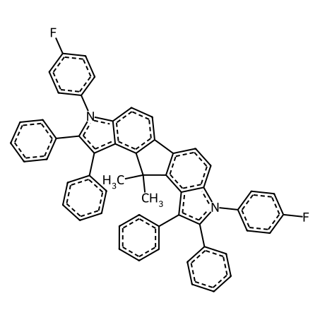 CC1(C)c2c(ccc3c2c(-c2ccccc2)c(-c2ccccc2)n3-c2ccc(F)cc2)-c2ccc3c(c(-c4ccccc4)c(-c4ccccc4)n3-c3ccc(F)cc3)c21